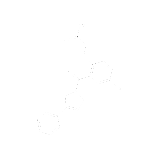 CNC(=O)COc1ccc(Br)cc1C(=O)N1CC=C(c2ccccc2)C1